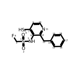 O=S(=O)(CF)Nc1c(S)ccnc1Cc1ccccc1